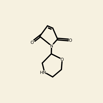 O=C1C=CC(=O)N1C1CNCCO1